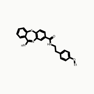 CCCC1=Nc2cc(C(=O)NCCc3ccc(OCC)cc3)ccc2Sc2ccccc21